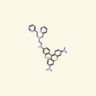 CN(C)c1ccc2c(-c3ccc(NCCN(CCc4ccccn4)Cc4ccccn4)cc3C(=O)[O-])c3ccc(=[N+](C)C)cc-3oc2c1